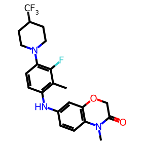 Cc1c(Nc2ccc3c(c2)OCC(=O)N3C)ccc(N2CCC(C(F)(F)F)CC2)c1F